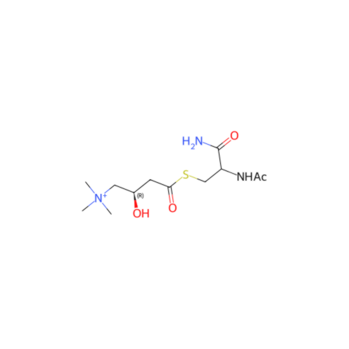 CC(=O)NC(CSC(=O)C[C@@H](O)C[N+](C)(C)C)C(N)=O